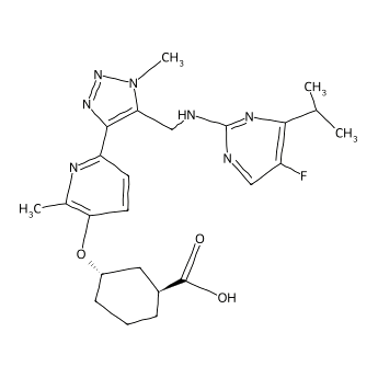 Cc1nc(-c2nnn(C)c2CNc2ncc(F)c(C(C)C)n2)ccc1O[C@H]1CCC[C@H](C(=O)O)C1